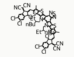 CCCCC(CC)Cn1c2c3sc(/C=C4\C(=O)c5cc(Cl)c(Cl)cc5C4=C(C#N)C#N)c(C)c3sc2c2c3nsnc3c3c4sc5c(C)c(/C=C6\C(=O)c7cc(Cl)c(Cl)cc7C6=C(C#N)C#N)sc5c4n(CC(CC)CCCC)c3c21